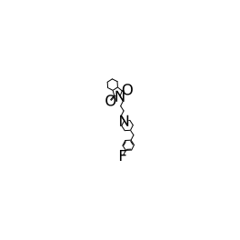 O=C1C2CCCCC2C(=O)N1CCCCN1CCC(Cc2ccc(F)cc2)CC1